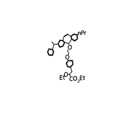 CCCc1ccc2c(c1)C=Cc1cc(C(C)c3ccccc3)ccc1C2OCCOc1ccc(CC(OCC)C(=O)OCC)cc1